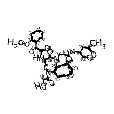 COc1ccccc1C(=O)C(=O)N[C@H]1CN(C(=O)CO)c2ccccc2N(CC(=O)N[C@H](C=O)CC(C)=O)C1=O